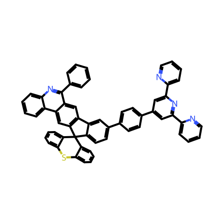 c1ccc(-c2nc3ccccc3c3cc4c(cc23)-c2cc(-c3ccc(-c5cc(-c6ccccn6)nc(-c6ccccn6)c5)cc3)ccc2C42c3ccccc3Sc3ccccc32)cc1